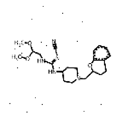 COC(CNC(=NC#N)NC1CCN(CC2CCc3ccccc3O2)CC1)OC